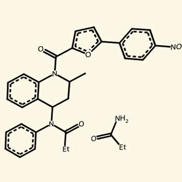 CCC(=O)N(c1ccccc1)C1CC(C)N(C(=O)c2ccc(-c3ccc([N+](=O)[O-])cc3)o2)c2ccccc21.CCC(N)=O